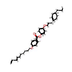 CCCCCCCCCCOc1ccc(C(=O)Oc2ccc(OCCC[C@H]3CC[C@H](CCC)CC3)cc2)cc1